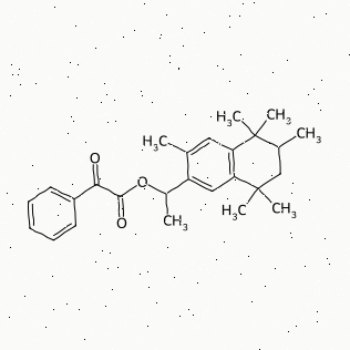 Cc1cc2c(cc1C(C)OC(=O)C(=O)c1ccccc1)C(C)(C)CC(C)C2(C)C